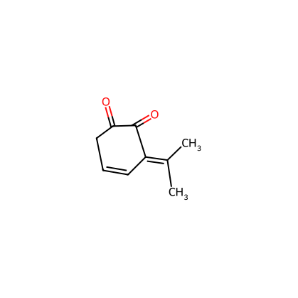 CC(C)=C1C=CCC(=O)C1=O